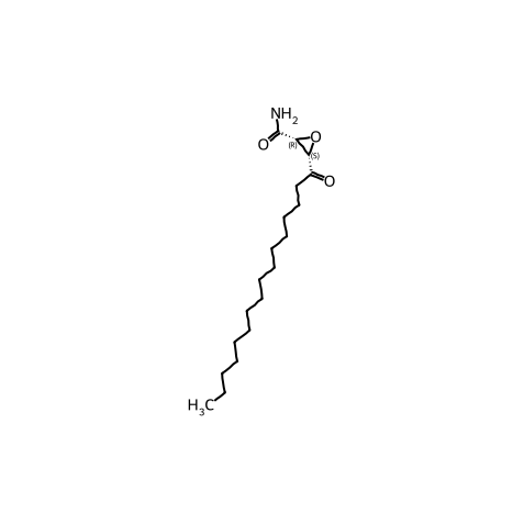 CCCCCCCCCCCCCCCC(=O)[C@H]1O[C@H]1C(N)=O